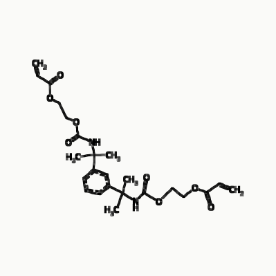 C=CC(=O)OCCOC(=O)NC(C)(C)c1cccc(C(C)(C)NC(=O)OCCOC(=O)C=C)c1